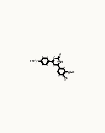 CCOC(=O)c1ccc(-c2cc(-c3ccc(O)c(OC)c3)[nH]c(=O)n2)cc1